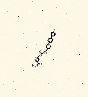 NC(=O)c1cc(COC(=O)NCCC2CCN(c3ccc(-c4ccc(F)cc4)cn3)CC2)on1